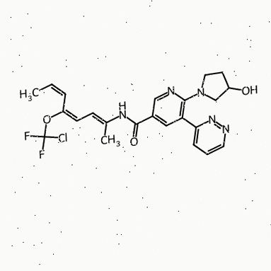 C\C=C/C(=C\C=C(/C)NC(=O)c1cnc(N2CCC(O)C2)c(-c2cccnn2)c1)OC(F)(F)Cl